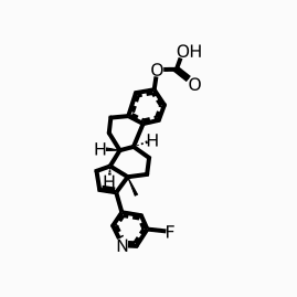 C[C@]12CC[C@@H]3c4ccc(OC(=O)O)cc4CC[C@H]3[C@@H]1CC=C2c1cncc(F)c1